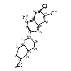 CCC1CCC2CC(c3cc(F)c4cc(Cl)c(F)cc4c3)CCC2C1